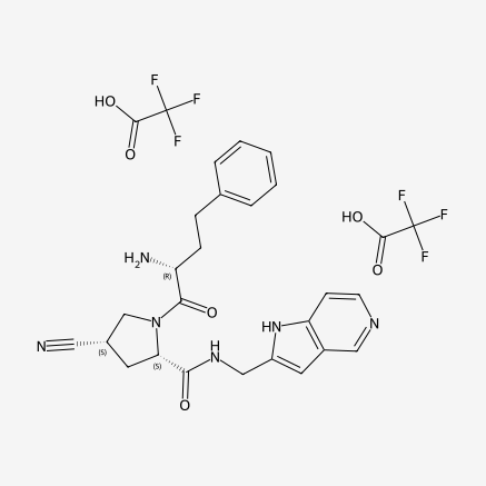 N#C[C@H]1C[C@@H](C(=O)NCc2cc3cnccc3[nH]2)N(C(=O)[C@H](N)CCc2ccccc2)C1.O=C(O)C(F)(F)F.O=C(O)C(F)(F)F